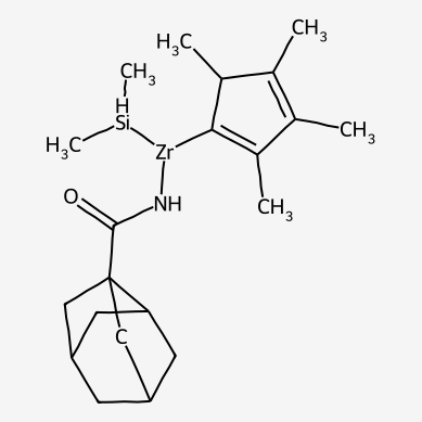 CC1=C(C)C(C)[C]([Zr]([NH]C(=O)C23CC4CC(CC2C4)C3)[SiH](C)C)=C1C